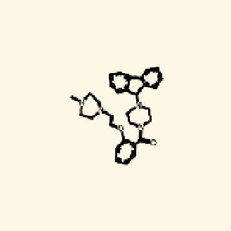 CN1CCN(CCOc2ccccc2C(=O)N2CCN(C3c4ccccc4-c4ccccc43)CC2)CC1